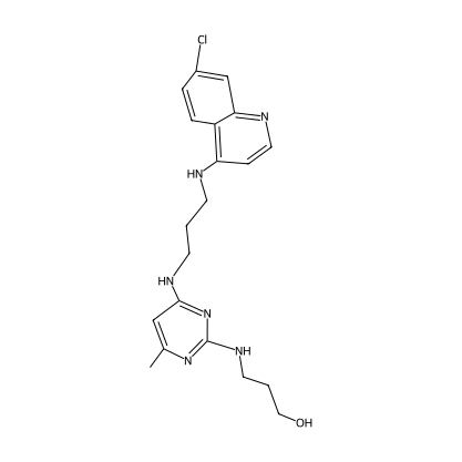 Cc1cc(NCCCNc2ccnc3cc(Cl)ccc23)nc(NCCCO)n1